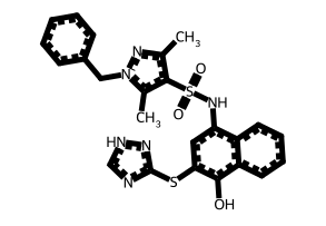 Cc1nn(Cc2ccccc2)c(C)c1S(=O)(=O)Nc1cc(Sc2nc[nH]n2)c(O)c2ccccc12